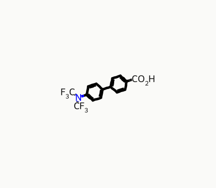 O=C(O)c1ccc(-c2ccc(N(C(F)(F)F)C(F)(F)F)cc2)cc1